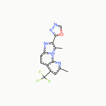 Cc1cc(C(F)(F)F)c2ccc3nc(-c4nnco4)c(C)n3c2n1